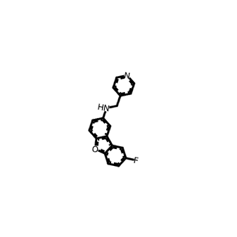 Fc1ccc2oc3ccc(NCc4ccncc4)cc3c2c1